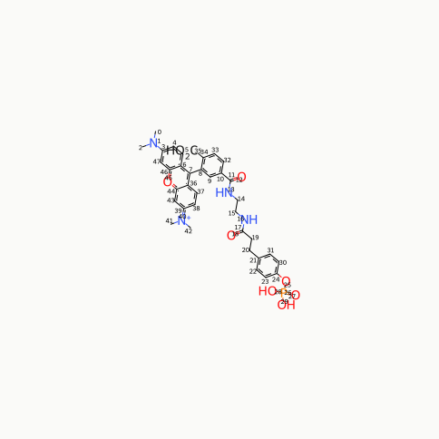 CN(C)c1ccc2c(-c3cc(C(=O)NCCNC(=O)CCc4ccc(OP(=O)(O)O)cc4)ccc3C(=O)O)c3ccc(=[N+](C)C)cc-3oc2c1